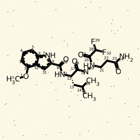 COc1cccc2[nH]c(C(=O)N[C@@H](CC(C)C)C(=O)NN(CCC(N)=O)C(=O)C(F)F)cc12